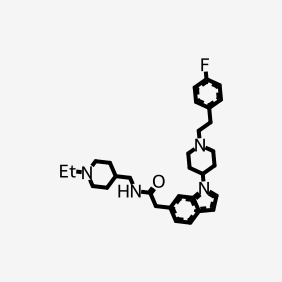 CCN1CCC(CNC(=O)Cc2ccc3ccn(C4CCN(CCc5ccc(F)cc5)CC4)c3c2)CC1